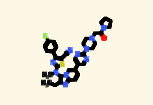 CCc1nc2ccc(-c3cnc(N4CCN(CC(=O)N5CCCC5)CC4)nc3)cn2c1N(C)c1nc(-c2ccc(F)cc2)c(C#N)s1